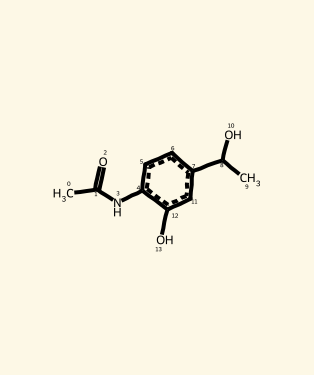 CC(=O)Nc1ccc(C(C)O)cc1O